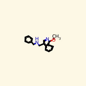 COc1ncc(CNCc2ccccc2)c2ccccc12